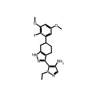 CCn1ncc(N)c1-c1n[nH]c2c1CCC(c1cc(OC)cc(OC)c1F)C2